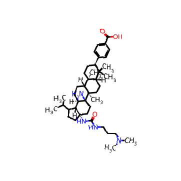 CC(C)C1CC[C@]2(NC(=O)NCCCN(C)C)CC[C@]3(N)[C@H](CC[C@@H]4[C@@]5(C)CC[C@@H](c6ccc(C(=O)O)cc6)C(C)(C)[C@@H]5CC[C@]43C)[C@@H]12